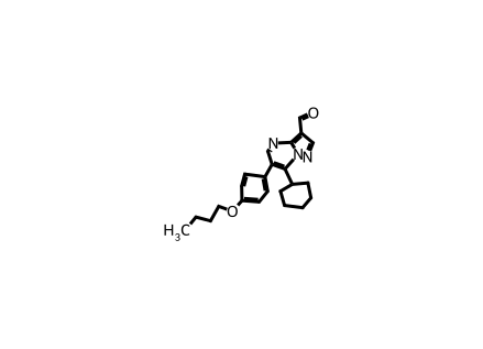 CCCCOc1ccc(-c2cnc3c(C=O)cnn3c2C2CCCCC2)cc1